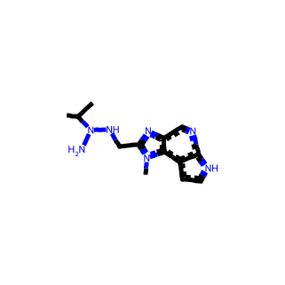 CC(C)N(N)NCc1nc2cnc3[nH]ccc3c2n1C